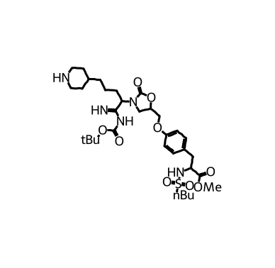 CCCCS(=O)(=O)NC(Cc1ccc(OCC2CN(C(CCCC3CCNCC3)C(=N)NC(=O)OC(C)(C)C)C(=O)O2)cc1)C(=O)OC